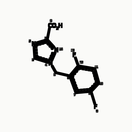 O=C(O)c1ncn(Cc2cc(F)ccc2F)n1